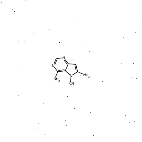 N#Cn1c(N)cc2ncnc(N)c21